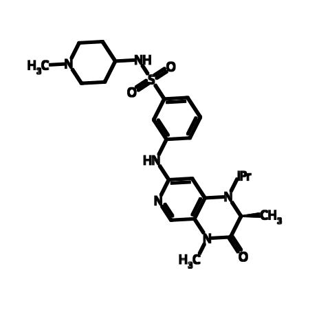 CC(C)N1c2cc(Nc3cccc(S(=O)(=O)NC4CCN(C)CC4)c3)ncc2N(C)C(=O)[C@@H]1C